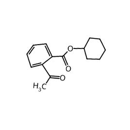 CC(=O)c1ccccc1C(=O)OC1CCCCC1